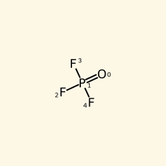 O=P(F)(F)F